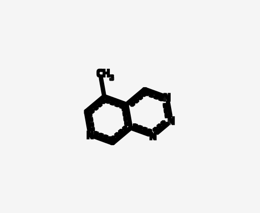 Cc1cncc2nnncc12